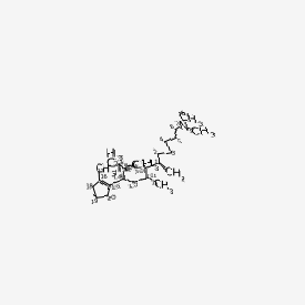 C=C(CCCCCN(C)C)CC(C)CC(C1=C(C)CCC1)N(C)C